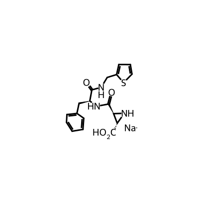 O=C(NCc1cccs1)[C@H](Cc1ccccc1)NC(=O)[C@H]1N[C@@H]1C(=O)O.[Na]